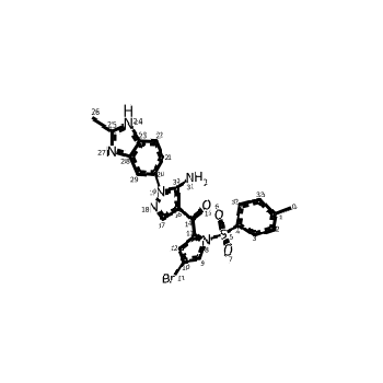 Cc1ccc(S(=O)(=O)n2cc(Br)cc2C(=O)c2cnn(-c3ccc4[nH]c(C)nc4c3)c2N)cc1